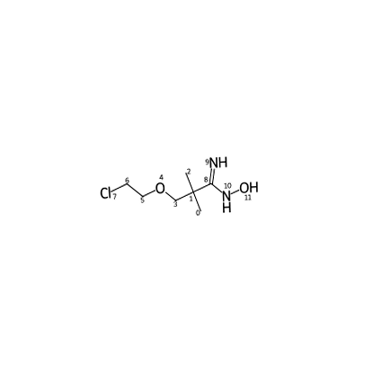 CC(C)(COCCCl)C(=N)NO